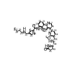 COc1nc(-c2ccnc(-c3cccc(NC(=O)c4ncc(CNCCCF)s4)c3Cl)c2Cl)ccc1CNC[C@@H]1CCC(=O)N1